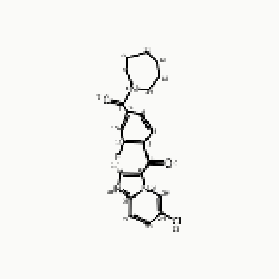 O=C(c1ccc(C(=O)N2CCCCCC2)cc1F)c1cnc2ccc(Cl)cn12